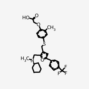 Cc1cc(SCc2cc(-c3ccc(C(F)(F)F)cc3)oc2CN(C)C2CCCCC2)ccc1OCC(=O)O